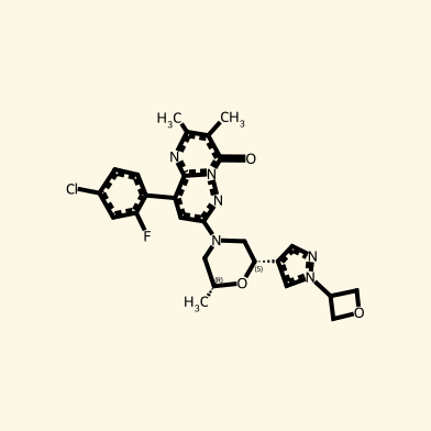 Cc1nc2c(-c3ccc(Cl)cc3F)cc(N3C[C@@H](C)O[C@@H](c4cnn(C5COC5)c4)C3)nn2c(=O)c1C